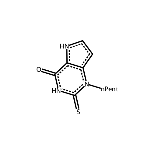 CCCCCn1c(=S)[nH]c(=O)c2[nH]ccc21